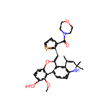 COc1c(O)ccc2c1-c1ccc3c(c1/C(=C/c1sccc1C(=O)N1CCOCC1)O2)C(C)=CC(C)(C)N3